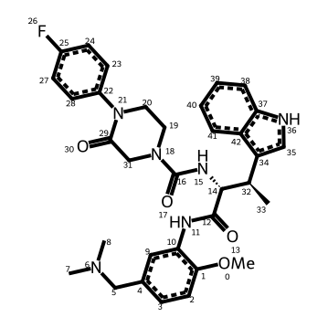 COc1ccc(CN(C)C)cc1NC(=O)[C@H](NC(=O)N1CCN(c2ccc(F)cc2)C(=O)C1)[C@H](C)c1c[nH]c2ccccc12